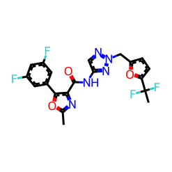 Cc1nc(C(=O)Nc2cnn(Cc3ccc(C(C)(F)F)o3)n2)c(-c2cc(F)cc(F)c2)o1